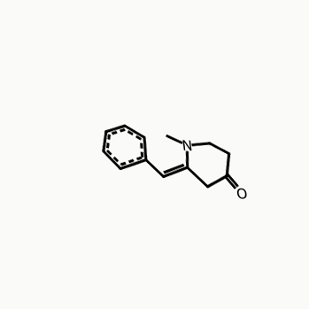 CN1CCC(=O)CC1=Cc1ccccc1